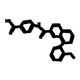 CCc1ccccc1-c1cccc2ccc(C(=O)Nc3ccc(C(=O)O)cc3)cc12